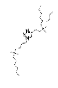 CCCCCCC(C)(C)CCCCn1cc(CCC(C)(CCCCCC)CCCCCC)nn1